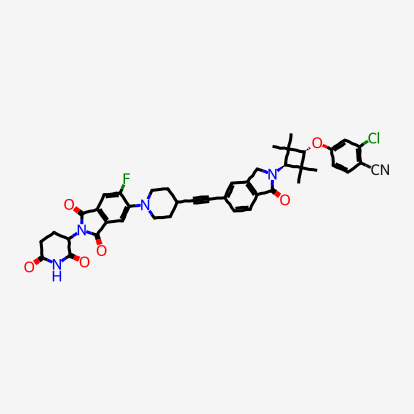 CC1(C)[C@H](Oc2ccc(C#N)c(Cl)c2)C(C)(C)[C@H]1N1Cc2cc(C#CC3CCN(c4cc5c(cc4F)C(=O)N(C4CCC(=O)NC4=O)C5=O)CC3)ccc2C1=O